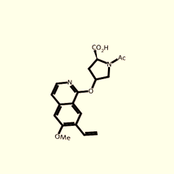 C=Cc1cc2c(OC3C[C@@H](C(=O)O)N(C(C)=O)C3)nccc2cc1OC